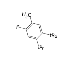 Cc1cc(C(C)(C)C)c(C(C)C)cc1F